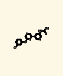 O=C(O)Nc1cncc(-c2cncc(Oc3cccc(Cl)c3)n2)c1